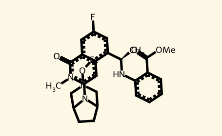 CCON1CC2CCC(C1)N2c1cc2c([C@@H](C)Nc3ccccc3C(=O)OC)cc(F)cc2c(=O)n1C